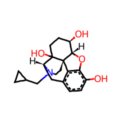 Oc1ccc2c3c1O[C@H]1[C@H](O)CCC4(O)[C@@H](C2)N(CC2CC2)CC[C@]314